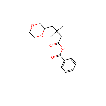 CC(C)(CC(=O)OC(=O)c1ccccc1)CC1COCCO1